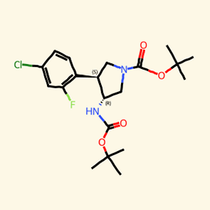 CC(C)(C)OC(=O)N[C@H]1CN(C(=O)OC(C)(C)C)C[C@@H]1c1ccc(Cl)cc1F